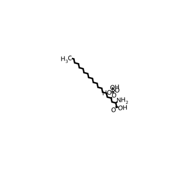 CCCCCCCCCCCCCCCCCC(CC(N)C(=O)O)OP(=O)(O)O